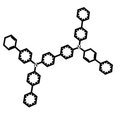 C1=CC(c2ccc(N(c3ccc(-c4ccccc4)cc3)c3ccc(-c4ccc(N(c5ccc(-c6ccccc6)cc5)C5C=CC(c6ccccc6)=CC5)cc4)cc3)cc2)=CCC1